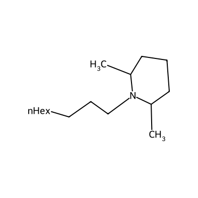 CCCCCCCCCN1C(C)CCCC1C